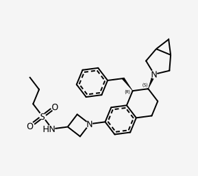 CCCS(=O)(=O)NC1CN(c2ccc3c(c2)[C@@H](Cc2ccccc2)[C@@H](N2CC4CC4C2)CC3)C1